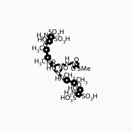 CSC1CC(=O)N(CCNC(=O)CN2CCN(CCNc3ccc(-c4ccc(Oc5ccc6c(S(=O)(=O)O)cc(S(=O)(=O)O)c(N)c6c5O)c(C)c4)cc3C)CCN(CC(=O)Nc3ccc(-c4ccc(Oc5ccc6c(S(=O)(=O)O)cc(S(=O)(=O)O)c(N)c6c5O)c(C)c4)cc3C)CC2)C1=O